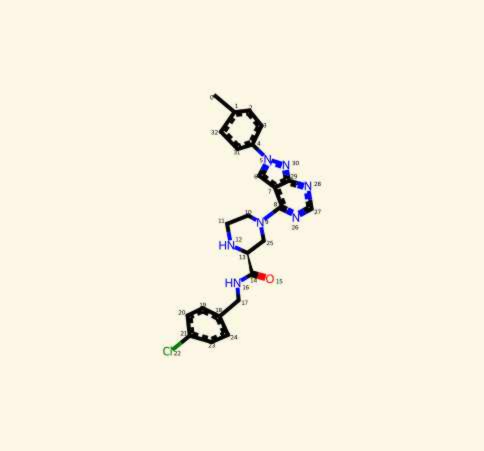 Cc1ccc(-n2cc3c(N4CCN[C@H](C(=O)NCc5ccc(Cl)cc5)C4)ncnc3n2)cc1